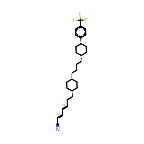 N#C/C=C/C=C/CC[C@H]1CC[C@H](CCCC[C@H]2CC[C@H](c3ccc(C(F)(F)F)cc3)CC2)CC1